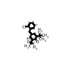 CC(C)(C)C1=CC(=Cc2ccccc2Cl)C=C(C(C)(C)C)C1=O